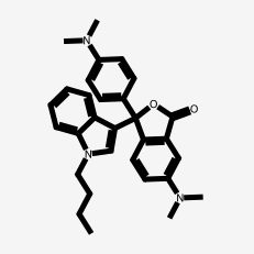 CCCCn1cc(C2(c3ccc(N(C)C)cc3)OC(=O)c3cc(N(C)C)ccc32)c2ccccc21